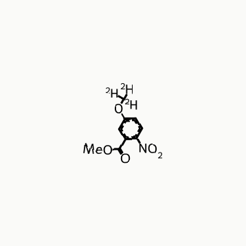 [2H]C([2H])([2H])Oc1ccc([N+](=O)[O-])c(C(=O)OC)c1